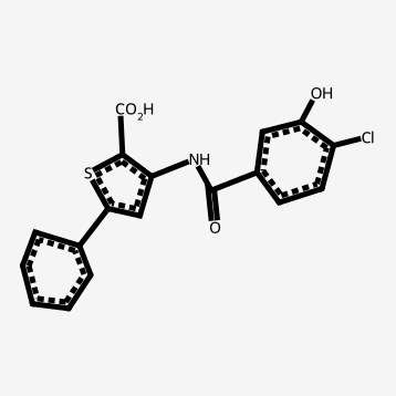 O=C(Nc1cc(-c2ccccc2)sc1C(=O)O)c1ccc(Cl)c(O)c1